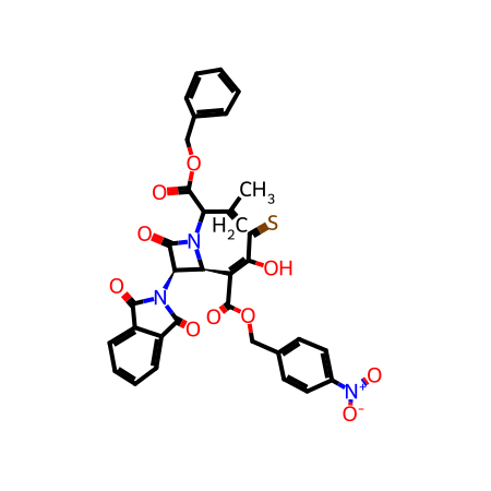 C=C(C)C(C(=O)OCc1ccccc1)N1C(=O)[C@H](N2C(=O)c3ccccc3C2=O)[C@@H]1/C(C(=O)OCc1ccc([N+](=O)[O-])cc1)=C(/O)C=S